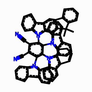 CC1(C)c2ccccc2-c2cc3c4ccccc4n(-c4c(C#N)c(C#N)c(-n5c6ccccc6c6ccccc65)c(-n5c6c(c7ccccc75)C=CCC6)c4-n4c5ccccc5c5ccccc54)c3cc21